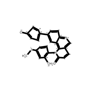 CSc1ccc(-n2c(=O)ccc3cnc4ccc(-c5ccc(Cl)cc5)cc4c32)c(C)c1